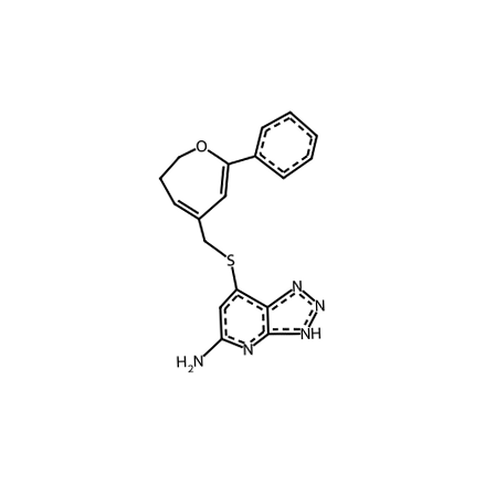 Nc1cc(SCC2=CCCOC(c3ccccc3)=C2)c2nn[nH]c2n1